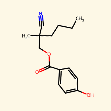 CCCCC(C)(C#N)COC(=O)c1ccc(O)cc1